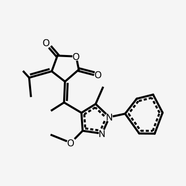 COc1nn(-c2ccccc2)c(C)c1C(C)=C1C(=O)OC(=O)C1=C(C)C